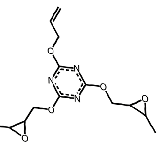 C=CCOc1nc(OCC2OC2C)nc(OCC2OC2C)n1